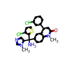 Cn1cncc1C(N)(c1ccc2c(c1)c(-c1cccc(Cl)c1)cc(=O)n2C)c1sccc1Cl